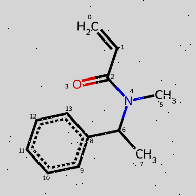 C=CC(=O)N(C)C(C)c1ccccc1